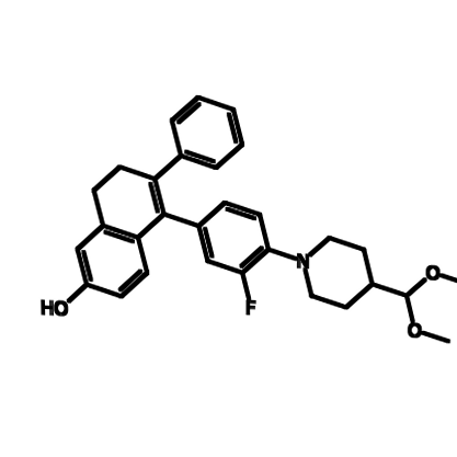 COC(OC)C1CCN(c2ccc(C3=C(c4ccccc4)CCc4cc(O)ccc43)cc2F)CC1